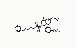 CC(=O)Oc1cccc([C@@]23CCN(CC4CC4)C[C@H]2CC[C@H](NC(=O)CCCCCc2ccccc2)C3)c1